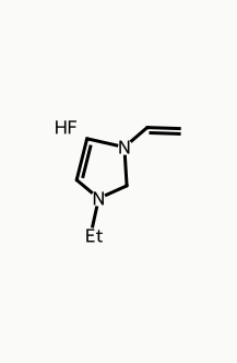 C=CN1C=CN(CC)C1.F